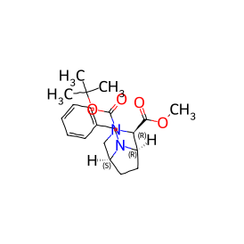 COC(=O)[C@H]1[C@H]2CC[C@@H](CN1C(=O)OC(C)(C)C)N2Cc1ccccc1